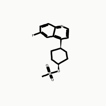 CS(=O)(=O)O[C@H]1CC[C@@H](c2ccnc3ccc(F)cc32)CC1